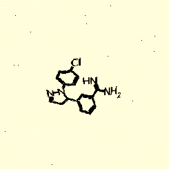 N=C(N)c1cccc(C2CC=NN2c2ccc(Cl)cc2)c1